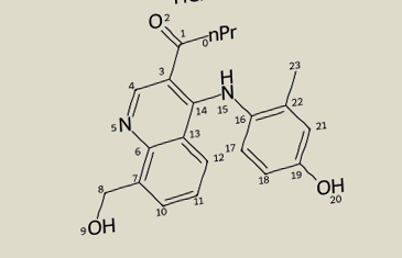 CCCC(=O)c1cnc2c(CO)cccc2c1Nc1ccc(O)cc1C.Cl